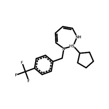 FC(F)(F)c1ccc(CN2C=CC=CN[SH]2C2CCCC2)cc1